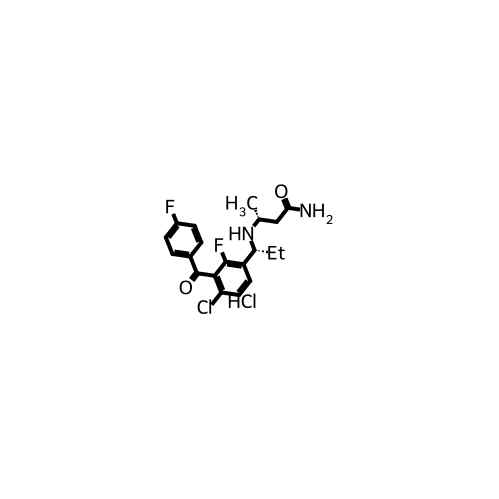 CC[C@@H](N[C@H](C)CC(N)=O)c1ccc(Cl)c(C(=O)c2ccc(F)cc2)c1F.Cl